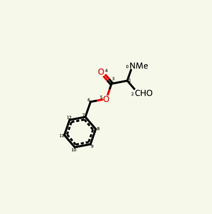 CNC(C=O)C(=O)OCc1ccccc1